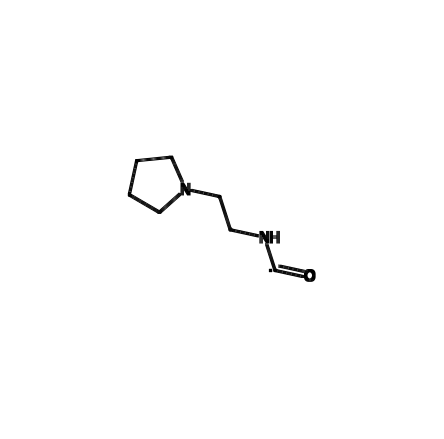 O=[C]NCCN1CCCC1